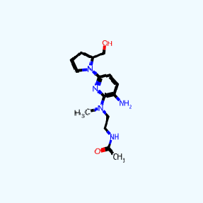 CC(=O)NCCN(C)c1nc(N2CCCC2CO)ccc1N